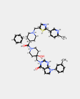 Cc1cccc(-n2ccc3c(=O)n(CC4(O)CCN(C(=O)[C@@H]5CCN(Cc6cnc(-c7ccc(C)nc7)s6)C[C@H]5c5ccccc5)CC4)cnc32)c1